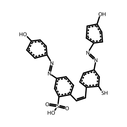 O=S(=O)(O)c1cc(N=Nc2ccc(O)cc2)ccc1/C=C\c1ccc(N=Nc2ccc(O)cc2)cc1S